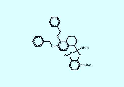 CCCC(NC(C)=O)(Oc1c(OC)cccc1OC)C1CCCc2c1ccc(OCc1ccccc1)c2OCc1ccccc1